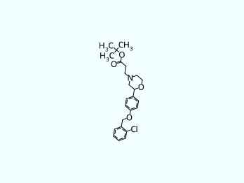 CC(C)(C)OC(=O)CCN1CCOC(c2ccc(OCc3ccccc3Cl)cc2)C1